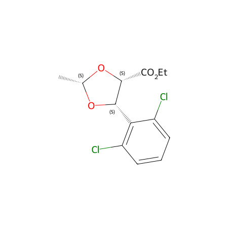 CCOC(=O)[C@H]1O[C@@H](C)O[C@H]1c1c(Cl)cccc1Cl